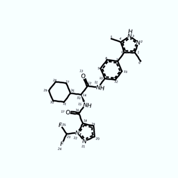 Cc1n[nH]c(C)c1-c1ccc(NC(=O)[C@@H](NC(=O)c2ccnn2C(F)F)C2CCCCC2)cc1